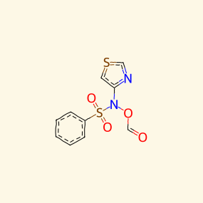 O=CON(c1cscn1)S(=O)(=O)c1ccccc1